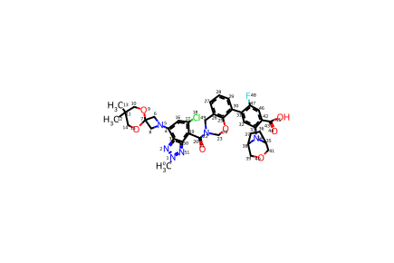 Cn1nc2c(N3CC4(C3)OCC(C)(C)CO4)cc(Cl)c(C(=O)N3COc4c(cccc4-c4cc(N5C6CCC5COC6)c(C(=O)O)cc4F)C3)c2n1